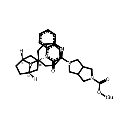 CC(C)(C)OC(=O)N1CC2CN(c3nc4ccccc4n([C@H]4C[C@H]5CC[C@@H](C4)N5C4CCCCCCC4)c3=O)CC2C1